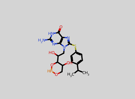 CC(C)c1ccc(Sc2nc3c(=O)[nH]c(N)nc3n2CC(O)C2OPOCC2O)cc1